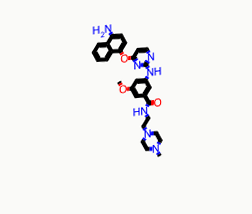 COc1cc(Nc2nccc(Oc3ccc(N)c4ccccc34)n2)cc(C(=O)NCCN2CCN(C)CC2)c1